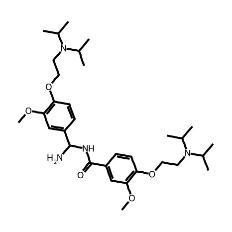 COc1cc(C(=O)NC(N)c2ccc(OCCN(C(C)C)C(C)C)c(OC)c2)ccc1OCCN(C(C)C)C(C)C